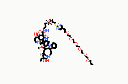 CCCOCCOCCOCCOCCOCCOCCc1cnc(SC[Si](C)(C)O[Si](C)(C)CCCNC(=O)[C@@]2(O)[C@H](O)[C@]3(CC)C=CCN4CC[C@@]5(c6cc([C@@]7(C(=O)OC)C[C@@H]8CN(CCc9c7[nH]c7ccccc97)C[C@](O)(CC)C8)c(OC)cc6N(C)[C@@H]25)[C@@H]43)nc1